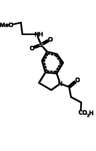 COCCNS(=O)(=O)c1ccc2c(c1)CCN2C(=O)CCC(=O)O